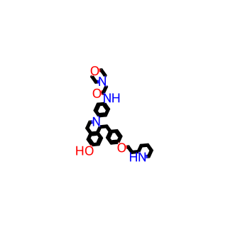 O=C(CN1CCOCC1)Nc1ccc(N2CCc3cc(O)ccc3C2Cc2ccc(OCCC3CCCCN3)cc2)cc1